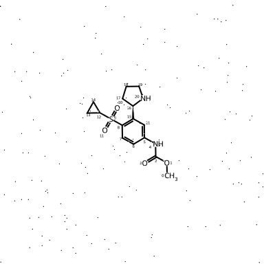 COC(=O)Nc1ccc(S(=O)(=O)C2CC2)c([C@H]2CCCN2)c1